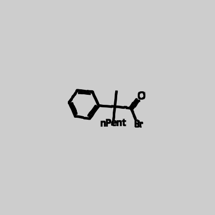 CCCCCC(C)(C(=O)Br)c1ccccc1